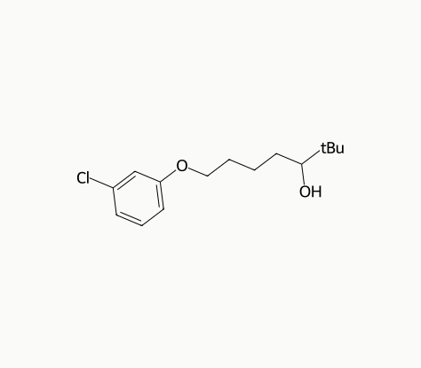 CC(C)(C)C(O)CCCCOc1cccc(Cl)c1